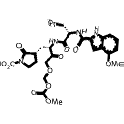 COC(=O)OCOCC(=O)[C@H](C[C@@H]1CCN(C(=O)O)C1=O)NC(=O)[C@H](CC(C)C)NC(=O)c1cc2c(OC)cccc2[nH]1